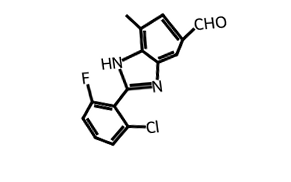 Cc1cc(C=O)cc2nc(-c3c(F)cccc3Cl)[nH]c12